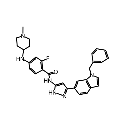 CN1CCC(Nc2ccc(C(=O)Nc3cc(-c4ccc5ccn(Cc6ccccc6)c5c4)n[nH]3)c(F)c2)CC1